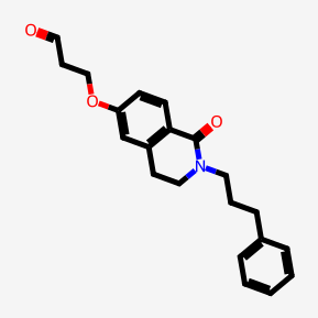 O=CCCOc1ccc2c(c1)CCN(CCCc1ccccc1)C2=O